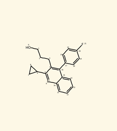 OCCCc1c(C2CC2)nc2ccccc2c1-c1ccc(F)cc1